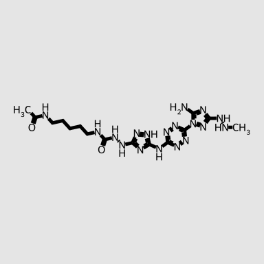 CNNc1nc(N)n(-c2nnc(Nc3nc(NNC(=O)NCCCCCNC(C)=O)n[nH]3)nn2)n1